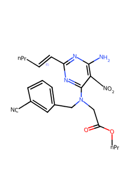 CCC/C=C/c1nc(N)c([N+](=O)[O-])c(N(CC(=O)OCCC)Cc2cccc(C#N)c2)n1